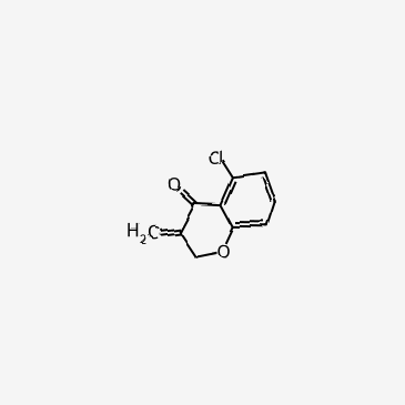 C=C1COc2cccc(Cl)c2C1=O